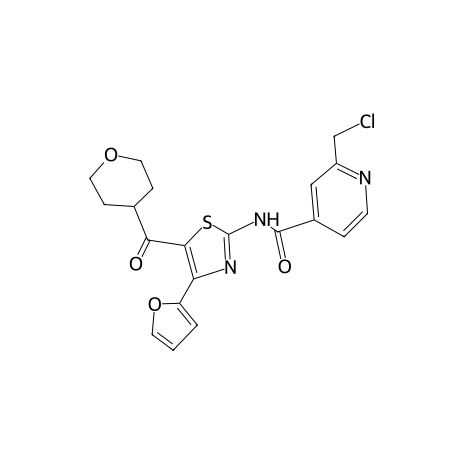 O=C(Nc1nc(-c2ccco2)c(C(=O)C2CCOCC2)s1)c1ccnc(CCl)c1